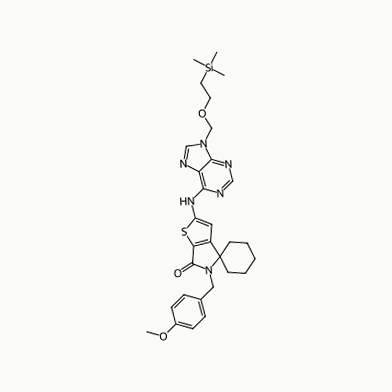 COc1ccc(CN2C(=O)c3sc(Nc4ncnc5c4ncn5COCC[Si](C)(C)C)cc3C23CCCCC3)cc1